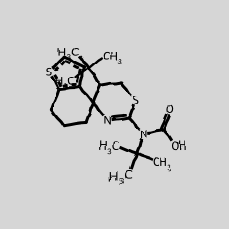 CC(C)(C)C1CSC(N(C(=O)O)C(C)(C)C)=NC12CCCc1sccc12